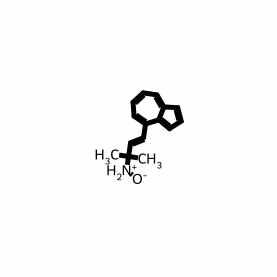 CC(C)(C=Cc1ccccc2cccc1-2)[NH2+][O-]